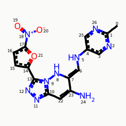 Cc1ncc(NC=C2Nn3c(nnc3-c3ccc([N+](=O)[O-])o3)C=C2N)cn1